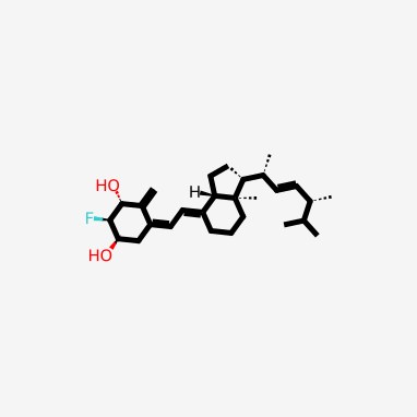 C=C1/C(=C\C=C2/CCC[C@]3(C)[C@@H]([C@H](C)/C=C/[C@H](C)C(C)C)CC[C@@H]23)C[C@@H](O)[C@@H](F)[C@@H]1O